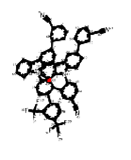 N#Cc1cccc(-c2ccc3c(c2)c2ccccc2n3-c2ccc(-c3ccc(C(F)(F)F)cc3C(F)(F)F)c(-c3cc(C#N)ccc3-n3c4ccccc4c4cc(-c5cccc(C#N)c5)ccc43)c2)c1